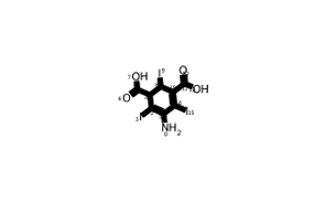 NC1=C(I)C(C(=O)O)C(I)C(C(=O)O)=C1I